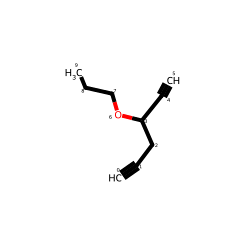 C#CCC(C#C)OCCC